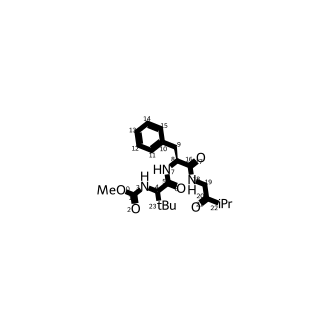 COC(=O)NC(C(=O)N[C@@H](Cc1ccccc1)C(=O)NCC(=O)C(C)C)C(C)(C)C